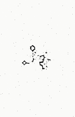 CC(C)C(=O)O[C@H]1[C@@H](OC(=O)C(C)C)[C@](C#N)(c2ccc3c(N)ncnn23)O[C@@H]1COP(=O)(N[C@@H](C)C(=O)OCC1CCC1)Oc1ccccc1